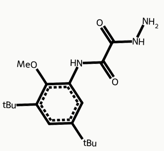 COc1c(NC(=O)C(=O)NN)cc(C(C)(C)C)cc1C(C)(C)C